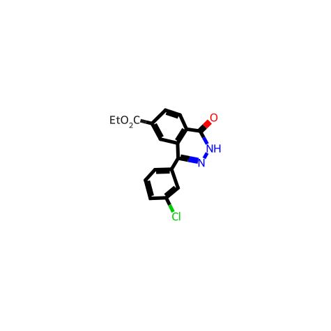 CCOC(=O)c1ccc2c(=O)[nH]nc(-c3cccc(Cl)c3)c2c1